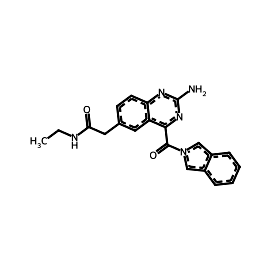 CCNC(=O)Cc1ccc2nc(N)nc(C(=O)n3cc4ccccc4c3)c2c1